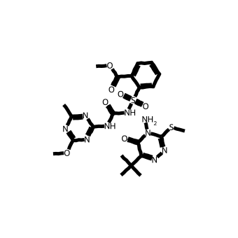 COC(=O)c1ccccc1S(=O)(=O)NC(=O)Nc1nc(C)nc(OC)n1.CSc1nnc(C(C)(C)C)c(=O)n1N